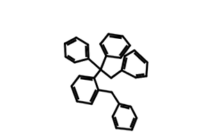 c1ccc(Cc2ccccc2C(Cc2ccccc2)(c2ccccc2)c2ccccc2)cc1